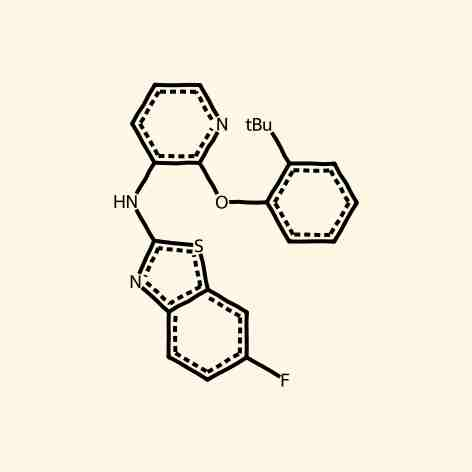 CC(C)(C)c1ccccc1Oc1ncccc1Nc1nc2ccc(F)cc2s1